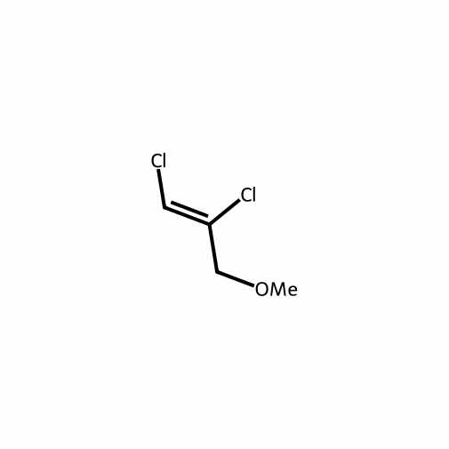 [CH2]OCC(Cl)=CCl